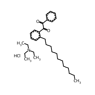 CCCCCCCCCCCCc1ccccc1C(=O)C(=O)c1ccccc1.CCN(CC)CC.Cl